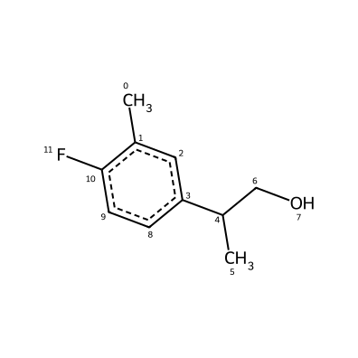 Cc1cc(C(C)CO)ccc1F